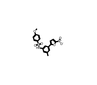 COc1ccc(S(=O)(=O)Nc2cc(C)cc(-c3ccc([N+](=O)[O-])o3)c2)cc1